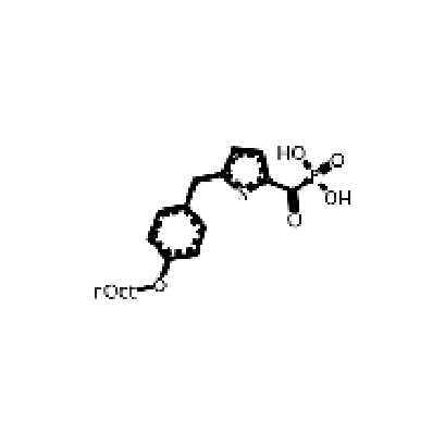 CCCCCCCCOc1ccc(Cc2ccc(C(=O)P(=O)(O)O)s2)cc1